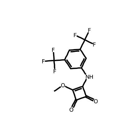 COc1c(Nc2cc(C(F)(F)F)cc(C(F)(F)F)c2)c(=O)c1=O